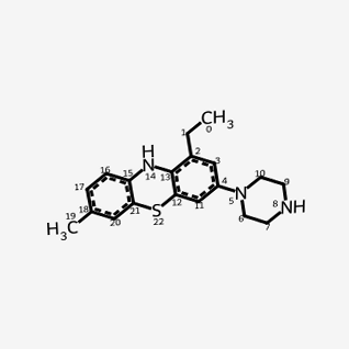 CCc1cc(N2CCNCC2)cc2c1Nc1ccc(C)cc1S2